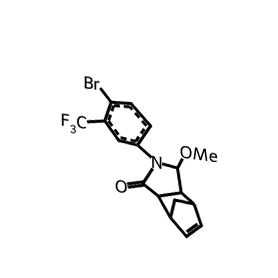 COC1C2C3C=CC(C3)C2C(=O)N1c1ccc(Br)c(C(F)(F)F)c1